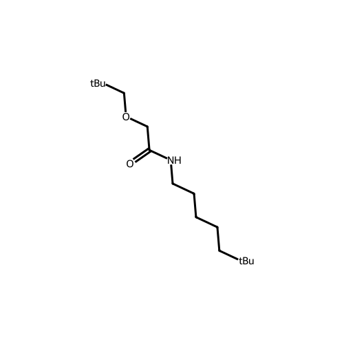 CC(C)(C)CCCCCNC(=O)COCC(C)(C)C